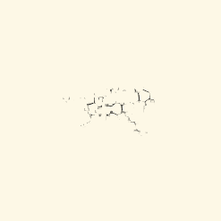 COc1ccc(F)c(F)c1COc1cc(-n2c(=O)[nH]c3c(OC)nc(CO)nc32)c(Cl)cc1OCCCO